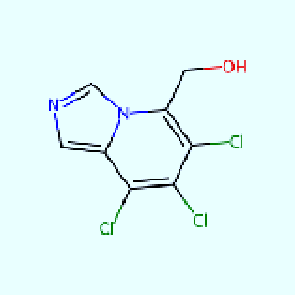 OCc1c(Cl)c(Cl)c(Cl)c2cncn12